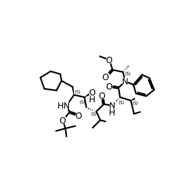 CC[C@H](C)[C@H](NC(=O)[C@@H](C[C@H](O)[C@H](CC1CCCCC1)NC(=O)OC(C)(C)C)C(C)C)C(=O)N(c1ccccc1)[C@@H](C)C(=O)OC